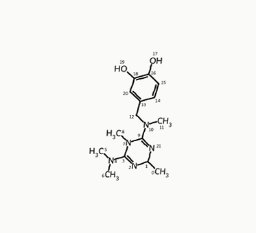 CC1N=C(N(C)C)N(C)C(N(C)Cc2ccc(O)c(O)c2)=N1